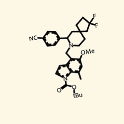 COc1cc(C)c2c(ccn2C(=O)OC(C)(C)C)c1CN1CCC2(CCC(F)(F)C2)CC1c1ccc(C#N)cc1